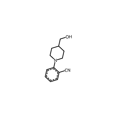 N#Cc1ccccc1N1CCC(CO)CC1